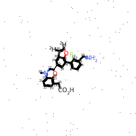 [2H]c1oc2c(-c3cccc(CN)c3F)cc([C@@H]3CN(C)c4cccc(CC(=O)O)c4O3)cc2c1[2H]